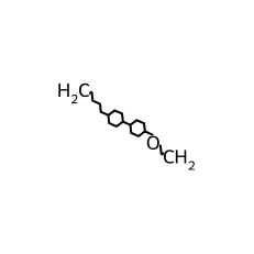 C=CCCCC1CCC(C2CCC(COCC=C)CC2)CC1